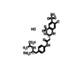 CCOC(=O)[C@H](Cc1ccc(NC(=O)C[C@H]2Nc3cc(Cl)c(S(N)(=O)=O)cc3S(=O)(=O)N2)cc1)NC(C)C(=O)O.Cl